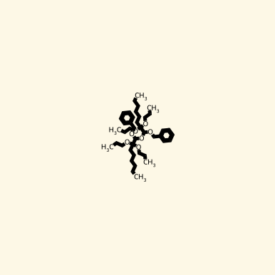 CCCCCCC(OCCC)(OCCC)C(OCc1ccccc1)OC(OCc1ccccc1)C(CCCCCC)(OCCC)OCCC